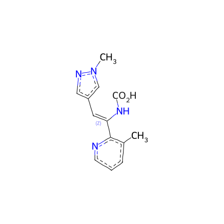 Cc1cccnc1/C(=C/c1cnn(C)c1)NC(=O)O